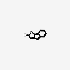 O=C1C=C2C=c3ccccc3=C2O1